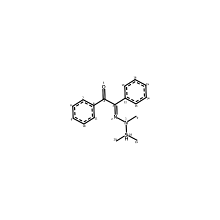 CN(N=C(C(=O)c1ccccc1)c1ccccc1)[SiH](C)C